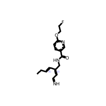 CC/C=C/C(=C\C=N)CNC(=O)c1ccc(OCCF)nc1